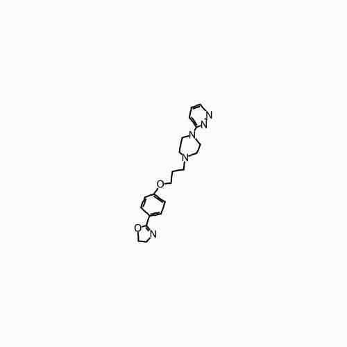 c1cnnc(N2CCN(CCCOc3ccc(C4=NCCO4)cc3)CC2)c1